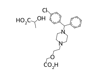 CC(O)C(=O)O.O=C(O)COCCN1CCN(C(c2ccccc2)c2ccc(Cl)cc2)CC1